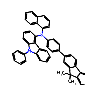 CC1(C)c2ccccc2-c2ccc(-c3ccc(N(c4cccc5ccccc45)c4cccc5c4c4ccccc4n5-c4ccccc4)cc3)cc21